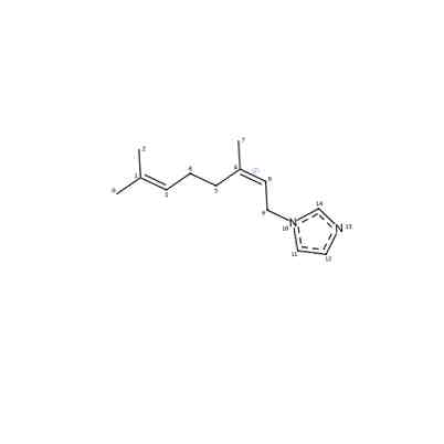 CC(C)=CCC/C(C)=C\Cn1ccnc1